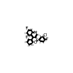 [O-][S+](c1ccc(F)c(Cl)c1)c1cnc2cc(F)ccc2c1-c1ccccc1F